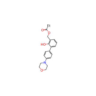 CCC(=O)OCc1cccc(-c2ccc(N3CCOCC3)cc2)c1O